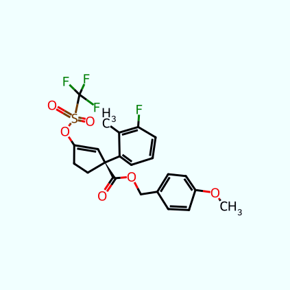 COc1ccc(COC(=O)[C@]2(c3cccc(F)c3C)C=C(OS(=O)(=O)C(F)(F)F)CC2)cc1